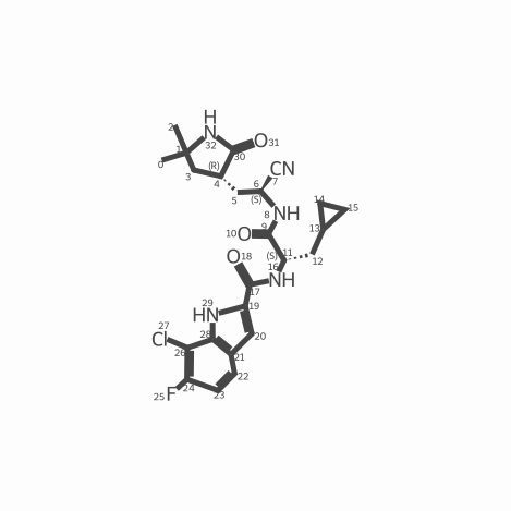 CC1(C)C[C@@H](C[C@@H](C#N)NC(=O)[C@H](CC2CC2)NC(=O)c2cc3ccc(F)c(Cl)c3[nH]2)C(=O)N1